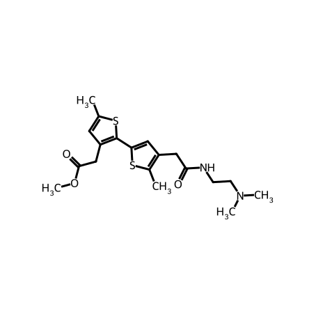 COC(=O)Cc1cc(C)sc1-c1cc(CC(=O)NCCN(C)C)c(C)s1